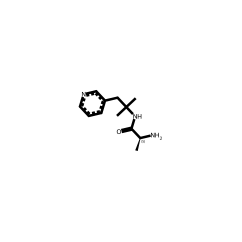 C[C@H](N)C(=O)NC(C)(C)Cc1cccnc1